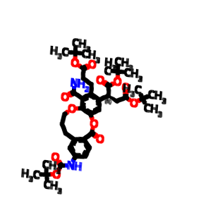 CC(C)(C)OC(=O)CCc1c([C@H](CC(=O)OC(C)(C)C)C(=O)OC(C)(C)C)cc2c(c1C(N)=O)OCCCc1cc(NC(=O)OC(C)(C)C)ccc1C(=O)O2